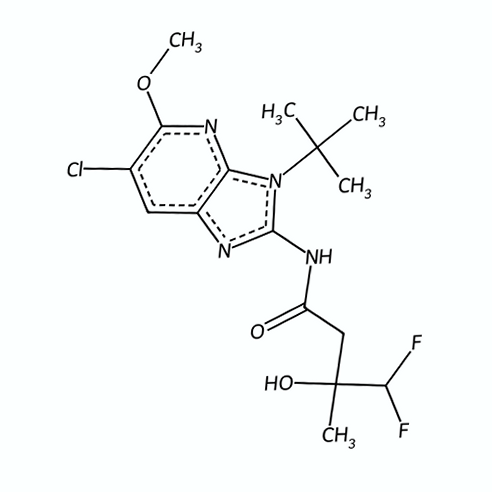 COc1nc2c(cc1Cl)nc(NC(=O)CC(C)(O)C(F)F)n2C(C)(C)C